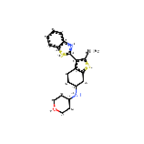 CC(=O)Nc1sc2c(c1-c1nc3ccccc3s1)CCC(NC1CCOCC1)C2